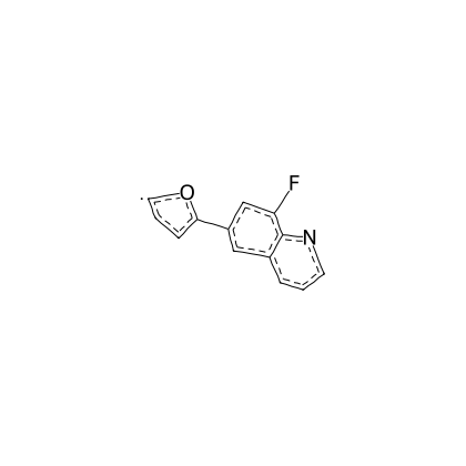 Fc1cc(-c2cc[c]o2)cc2cccnc12